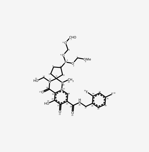 COCOP(OCOC=O)C1CCC2(C1)N(CO)C(=O)c1c(O)c(=O)c(C(=O)NCc3ccc(F)cc3F)cn1N2C